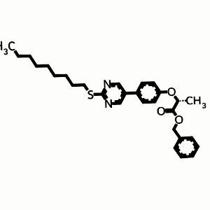 CCCCCCCCCSc1ncc(-c2ccc(O[C@H](C)C(=O)OCc3ccccc3)cc2)cn1